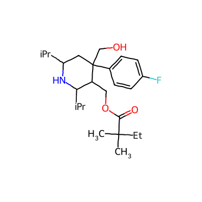 CCC(C)(C)C(=O)OCC1C(C(C)C)NC(C(C)C)CC1(CO)c1ccc(F)cc1